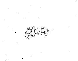 Cc1oc2ncnc(NC3(C)CC3)c2c1C(=O)N1CCC2=C(C1)N=CC(CF)C2=O